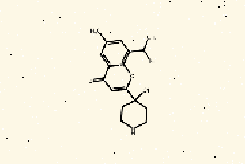 Cc1cc(C(C)Br)c2oc(C3(C#N)CCNCC3)cc(=O)c2c1